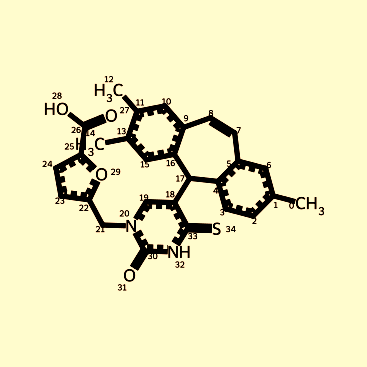 Cc1ccc2c(c1)C=Cc1cc(C)c(C)cc1C2c1cn(Cc2ccc(C(=O)O)o2)c(=O)[nH]c1=S